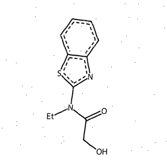 CCN(C(=O)CO)c1nc2ccccc2s1